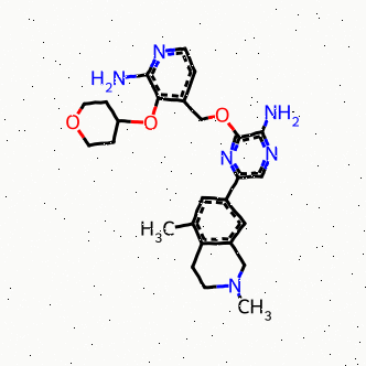 Cc1cc(-c2cnc(N)c(OCc3ccnc(N)c3OC3CCOCC3)n2)cc2c1CCN(C)C2